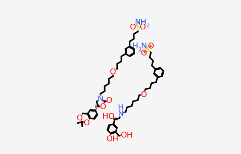 CC1(C)OCc2cc([C@@H]3CN(CCCCCCOCCCCc4cccc(CCCCS(N)(=O)=O)c4)C(=O)O3)ccc2O1.NS(=O)(=O)CCCCc1cccc(CCCCOCCCCCCNC[C@H](O)c2ccc(O)c(CO)c2)c1